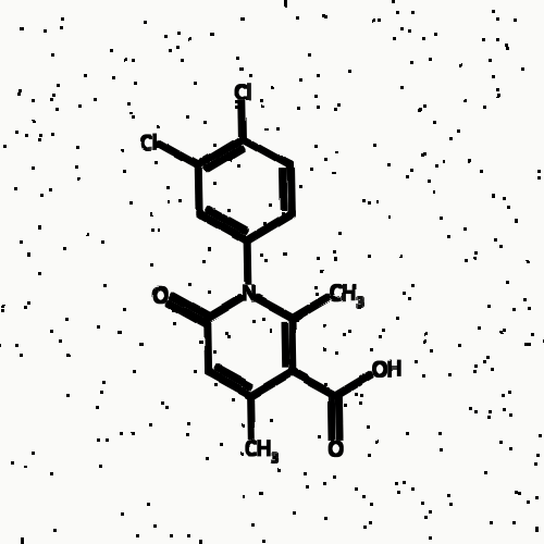 Cc1cc(=O)n(-c2ccc(Cl)c(Cl)c2)c(C)c1C(=O)O